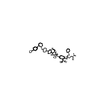 CC(C)NCC[C@H](CSc1ccccc1)Nc1ccc(S(=O)(=O)Nc2ncnc3cc(N4CCN(Cc5ccccc5-c5ccc(Cl)cc5)CC4)ccc23)cc1[N+](=O)[O-]